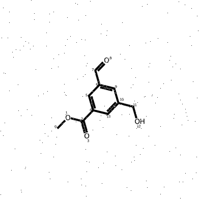 COC(=O)c1cc(C=O)cc(CO)c1